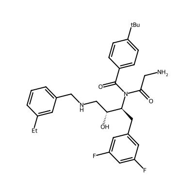 CCc1cccc(CNC[C@@H](O)[C@H](Cc2cc(F)cc(F)c2)N(C(=O)CN)C(=O)c2ccc(C(C)(C)C)cc2)c1